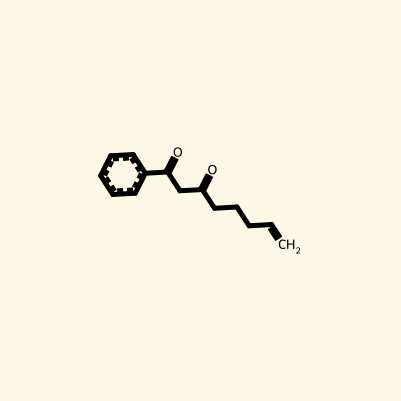 C=CCCCC(=O)CC(=O)c1ccccc1